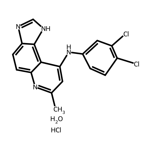 Cc1cc(Nc2ccc(Cl)c(Cl)c2)c2c(ccc3nc[nH]c32)n1.Cl.O